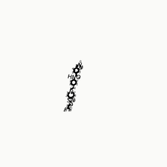 Cn1cc2ccc(C(=O)N[C@H]3CC[C@H](CCN4CCc5nc(OCC(F)F)sc5CC4)CC3)cc2n1